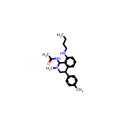 CCCCNc1cccc2c1C(NC(C)=O)N(C)CC2c1ccc(C)cc1